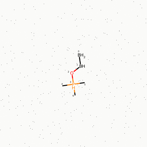 BBO[PH](C)(C)C